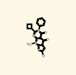 Cn1c2nc(C3CCC3)n(-c3ccccc3)c(=O)c2c(=O)c2cc(Cl)sc21